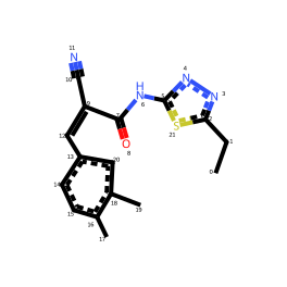 CCc1nnc(NC(=O)C(C#N)=Cc2ccc(C)c(C)c2)s1